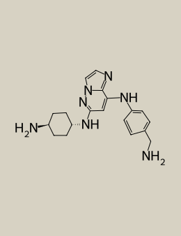 NCc1ccc(Nc2cc(N[C@H]3CC[C@H](N)CC3)nn3ccnc23)cc1